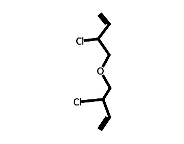 C=CC(Cl)COCC(Cl)C=C